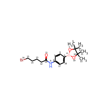 CC1(C)OB(c2ccc(NC(=O)CCCCBr)cc2)OC1(C)C